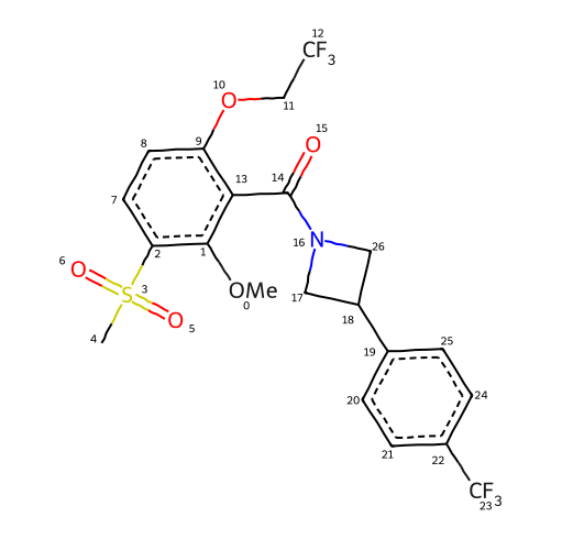 COc1c(S(C)(=O)=O)ccc(OCC(F)(F)F)c1C(=O)N1CC(c2ccc(C(F)(F)F)cc2)C1